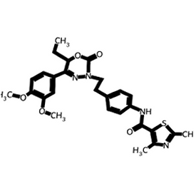 CCC1OC(=O)N(CCc2ccc(NC(=O)c3sc(C)nc3C)cc2)N=C1c1ccc(OC)c(OC)c1